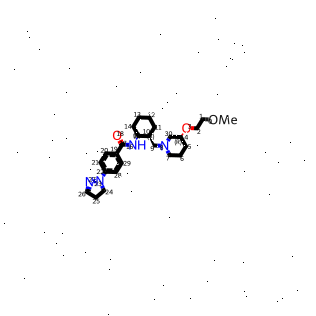 COCCO[C@@H]1CCCN(C[C@@H]2CCCC[C@H]2NC(=O)c2ccc(N3CCC=N3)cc2)C1